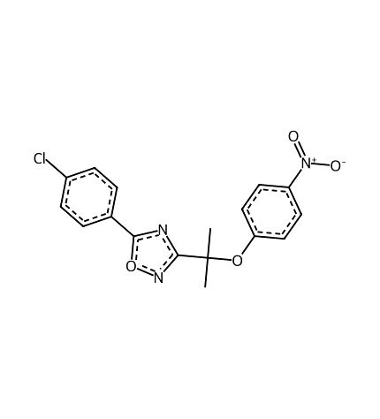 CC(C)(Oc1ccc([N+](=O)[O-])cc1)c1noc(-c2ccc(Cl)cc2)n1